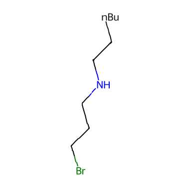 CCCCCCNCCCBr